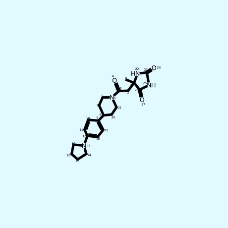 CC1(CC(=O)N2CCC(c3ccc(N4CCCC4)cc3)CC2)NC(=O)NC1=O